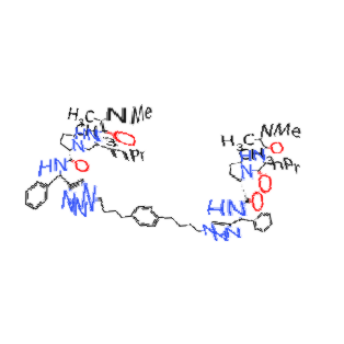 CCC[C@@H](CN1C(C)CC[C@H]1C(=O)N[C@H](c1ccccc1)c1cn(CCCCc2ccc(CCCCn3cc([C@H](NC(=O)[C@@H]4CCC(C)N4C(=O)[C@H](CCC)NC(=O)[C@H](C)NC)c4ccccc4)nn3)cc2)nn1)NC(=O)[C@H](C)NC